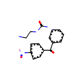 NCCNC(N)=O.O=C(c1ccccc1)c1ccc([N+](=O)[O-])cc1